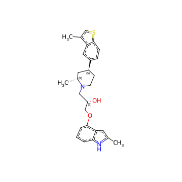 Cc1cc2c(OC[C@@H](O)CN3CC[C@H](c4ccc5scc(C)c5c4)C[C@H]3C)cccc2[nH]1